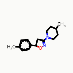 Cc1ccc(C2CC(N3CCC(C)CC3)=NO2)cc1